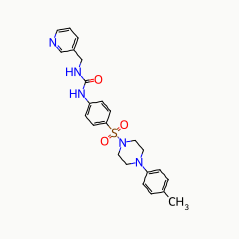 Cc1ccc(N2CCN(S(=O)(=O)c3ccc(NC(=O)NCc4cccnc4)cc3)CC2)cc1